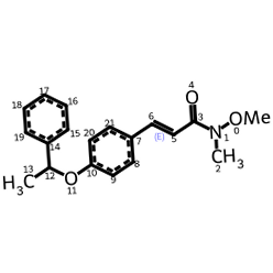 CON(C)C(=O)/C=C/c1ccc(OC(C)c2ccccc2)cc1